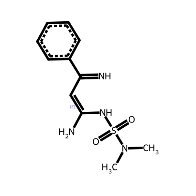 CN(C)S(=O)(=O)N/C(N)=C\C(=N)c1ccccc1